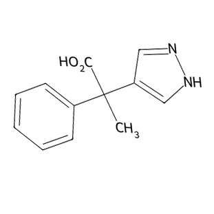 CC(C(=O)O)(c1ccccc1)c1cn[nH]c1